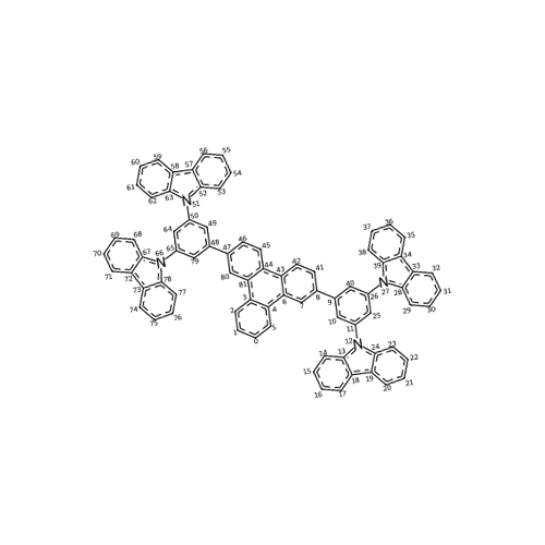 c1ccc2c(c1)c1cc(-c3cc(-n4c5ccccc5c5ccccc54)cc(-n4c5ccccc5c5ccccc54)c3)ccc1c1ccc(-c3cc(-n4c5ccccc5c5ccccc54)cc(-n4c5ccccc5c5ccccc54)c3)cc21